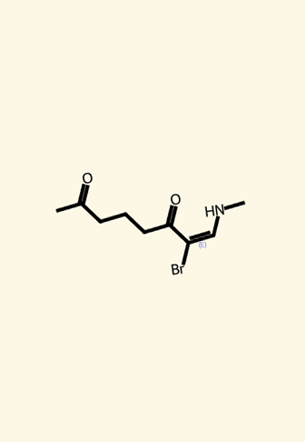 CN/C=C(/Br)C(=O)CCCC(C)=O